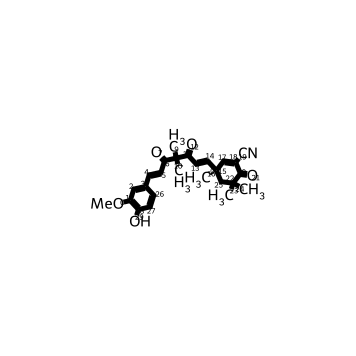 COc1cc(C=CC(=O)C(C)(C)C(=O)C=C[C@@]2(C)C=C(C#N)C(=O)C(C)(C)C2)ccc1O